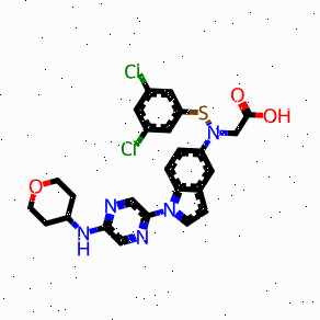 O=C(O)CN(Sc1cc(Cl)cc(Cl)c1)c1ccc2c(ccn2-c2cnc(NC3CCOCC3)cn2)c1